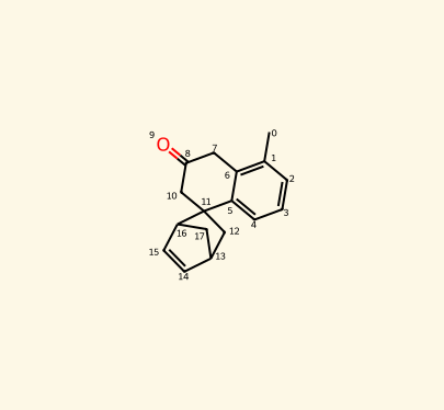 Cc1cccc2c1CC(=O)CC21CC2C=CC1C2